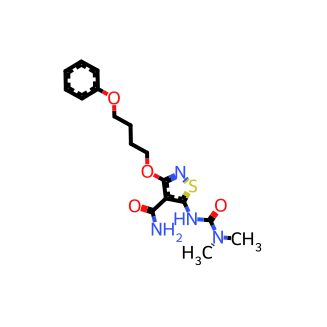 CN(C)C(=O)Nc1snc(OCCCCOc2ccccc2)c1C(N)=O